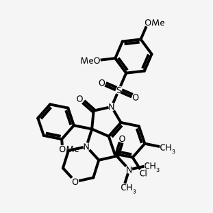 COc1ccc(S(=O)(=O)N2C(=O)C(c3ccccc3OC)(N3CCOCC3C(=O)N(C)C)c3cc(Cl)c(C)cc32)c(OC)c1